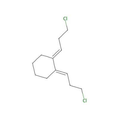 ClCCC=C1CCCCC1=CCCCl